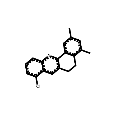 Cc1cc(C)c2c(c1)-c1nc3cccc(Cl)c3cc1CC2